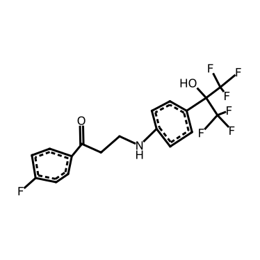 O=C(CCNc1ccc(C(O)(C(F)(F)F)C(F)(F)F)cc1)c1ccc(F)cc1